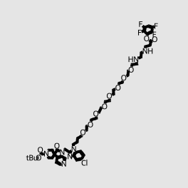 CC(C)(C)OC(=O)N1CCC2(CC1)C(=O)N(Cc1nc3cc(Cl)ccc3n1CCCCOCCOCCOCCOCCOCCOCCOCCOCCNCCNCCC(=O)Oc1c(F)c(F)cc(F)c1F)c1cnccc12